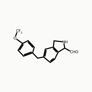 O=CC1NCc2cc(Cc3ccc(OC(F)(F)F)cc3)ccc21